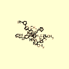 Cc1cnc(Nc2ccc(OCCC3CCCN3)cc2)nc1-c1ccc(-c2cccc(C(C)C)c2)s1.Cc1nc(C)c(-c2ccc(-c3nc(Nc4ccc(OCCN5CCCC5)cc4)ncc3C)s2)s1